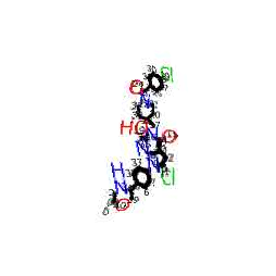 C[C@@H]1CNC(c2ccc(-n3c(Cl)cc4c(=O)n(CC5(O)CCN(C(=O)c6ccc(Cl)cc6)CC5)cnc43)cc2)CO1